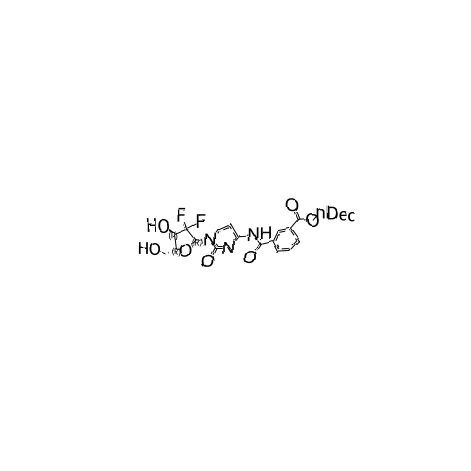 CCCCCCCCCCOC(=O)c1cccc(C(=O)Nc2ccn([C@@H]3O[C@H](CO)[C@@H](O)C3(F)F)c(=O)n2)c1